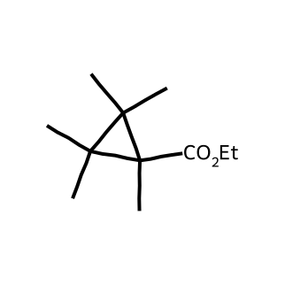 CCOC(=O)C1(C)C(C)(C)C1(C)C